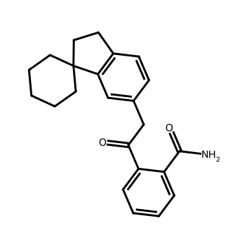 NC(=O)c1ccccc1C(=O)Cc1ccc2c(c1)C1(CCCCC1)CC2